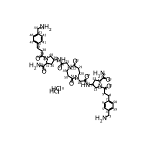 Cl.Cl.NCc1ccc(CCC(=O)N2CC(NC(=O)CN3CCC(=O)N(CC(=O)NC4CC(C(N)=O)N(C(=O)CCc5ccc(CN)cc5)C4)CCC3=O)CC2C(N)=O)cc1